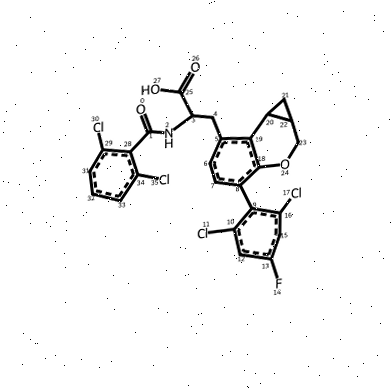 O=C(NC(Cc1ccc(-c2c(Cl)cc(F)cc2Cl)c2c1C1CC1CO2)C(=O)O)c1c(Cl)cccc1Cl